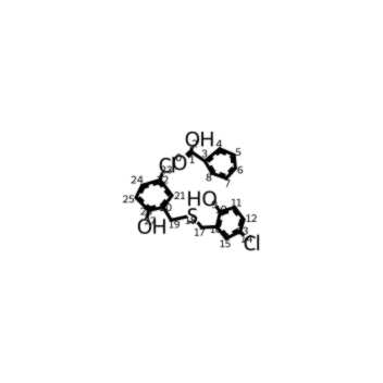 O=C(O)c1ccccc1.Oc1ccc(Cl)cc1CSCc1cc(Cl)ccc1O